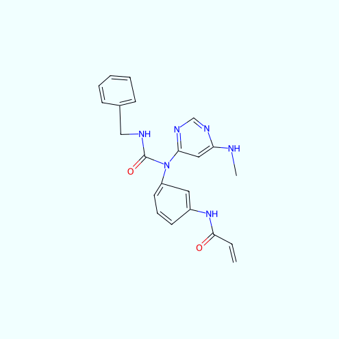 C=CC(=O)Nc1cccc(N(C(=O)NCc2ccccc2)c2cc(NC)ncn2)c1